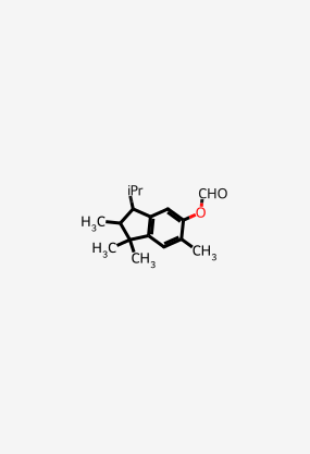 Cc1cc2c(cc1OC=O)C(C(C)C)C(C)C2(C)C